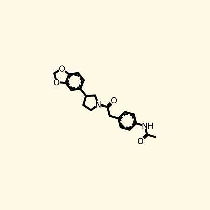 CC(=O)Nc1ccc(CC(=O)N2CCC(c3ccc4c(c3)OCO4)C2)cc1